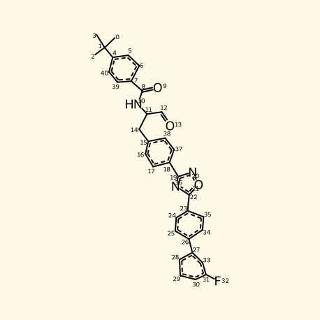 CC(C)(C)c1ccc(C(=O)NC(C=O)Cc2ccc(-c3noc(-c4ccc(-c5cccc(F)c5)cc4)n3)cc2)cc1